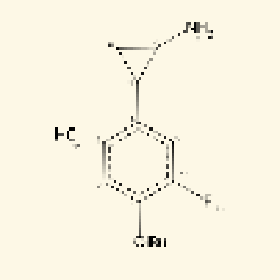 CC(C)COc1ccc(C2CC2N)cc1F.Cl